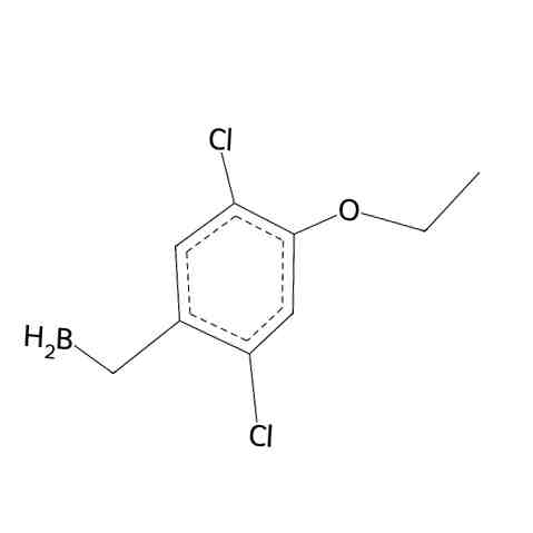 BCc1cc(Cl)c(OCC)cc1Cl